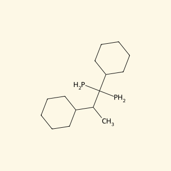 CC(C1CCCCC1)C(P)(P)C1CCCCC1